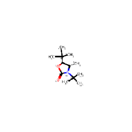 C[C@H]1[C@H](C(C)(C)C)OC(=O)N1C(C)(C)C